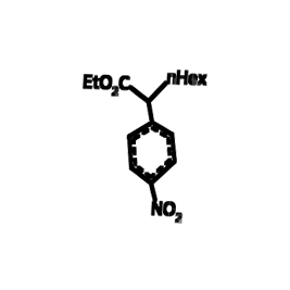 CCCCCCC(C(=O)OCC)c1ccc([N+](=O)[O-])cc1